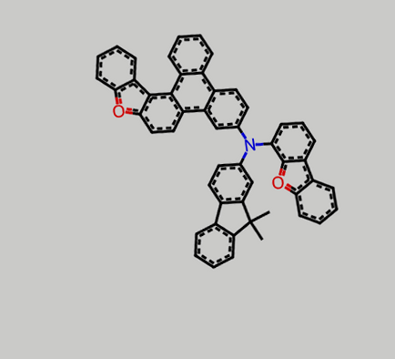 CC1(C)c2ccccc2-c2ccc(N(c3ccc4c5ccccc5c5c(ccc6oc7ccccc7c65)c4c3)c3cccc4c3oc3ccccc34)cc21